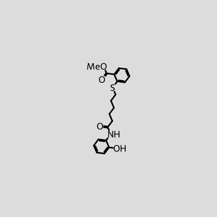 COC(=O)c1ccccc1SCCCCCC(=O)Nc1ccccc1O